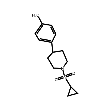 Cc1ccc(C2CCN(S(=O)(=O)C3CC3)CC2)cc1